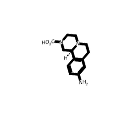 Nc1ccc2c(c1)CCN1CCN(C(=O)O)C[C@H]21